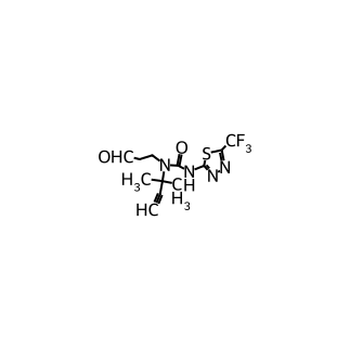 C#CC(C)(C)N(CCC=O)C(=O)Nc1nnc(C(F)(F)F)s1